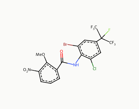 COc1c(C(=O)Nc2c(Cl)cc(C(F)(C(F)(F)F)C(F)(F)F)cc2Br)cccc1[N+](=O)[O-]